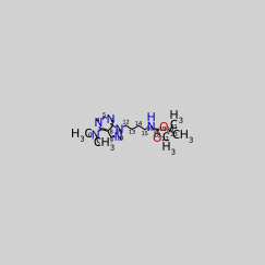 CN(C)c1ncnc2c1cnn2CCCCNC(=O)OC(C)(C)C